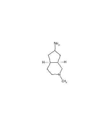 CN1CC[C@H]2CC(N)C[C@H]2C1